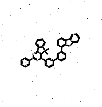 CC1(C)c2ccccc2-c2nc(-c3ccccc3)nc(-c3cccc(-c4cccc(-c5cccc6c5oc5ccccc56)c4)c3)c21